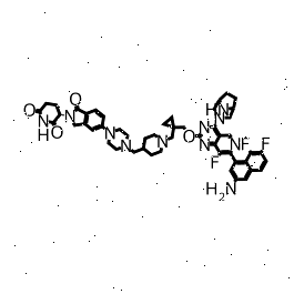 Nc1cc(-c2ncc3c(N4CC5CCC(C4)N5)nc(OCC4(CN5CCC(CN6CCN(c7ccc8c(c7)CN([C@H]7CCC(=O)NC7=O)C8=O)CC6)CC5)CC4)nc3c2F)c2c(F)c(F)ccc2c1